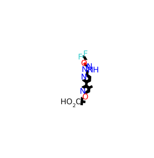 Cc1cc(OCC(C)(C)C(=O)O)ncc1-c1ccc(-c2nc(OCC(F)F)n[nH]2)nc1